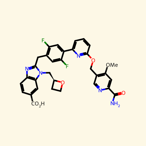 COc1cc(C(N)=O)ncc1COc1cccc(-c2cc(F)c(Cc3nc4ccc(C(=O)O)cc4n3C[C@@H]3CCO3)cc2F)n1